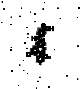 COc1ccccc1C1=NCc2cnc(Nc3ccc(C(=O)O)cc3)cc2-c2ccc(Cl)cc21